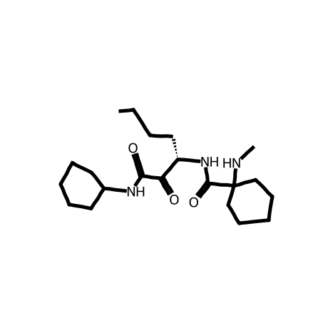 CCCC[C@H](NC(=O)C1(NC)CCCCC1)C(=O)C(=O)NC1CCCCC1